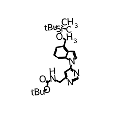 CC(C)(C)OC(=O)NCc1cc(-n2ccc3c(CO[Si](C)(C)C(C)(C)C)cccc32)ncn1